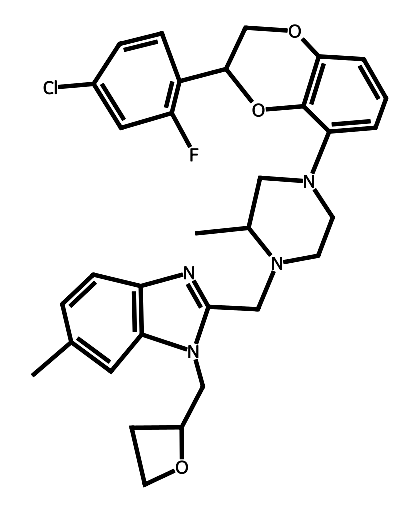 Cc1ccc2nc(CN3CCN(c4cccc5c4OC(c4ccc(Cl)cc4F)CO5)CC3C)n(CC3CCO3)c2c1